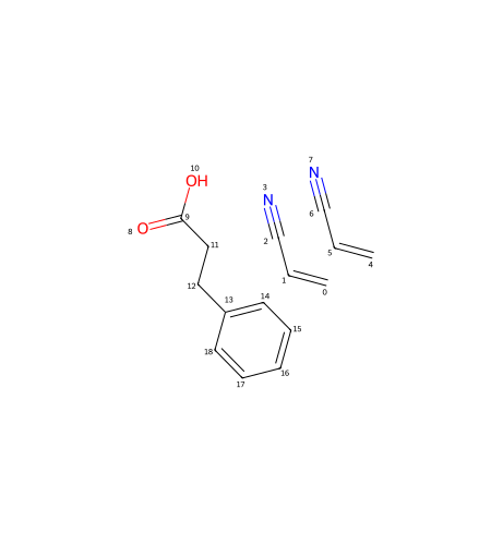 C=CC#N.C=CC#N.O=C(O)CCc1ccccc1